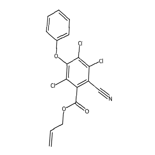 C=CCOC(=O)c1c(Cl)c(Oc2ccccc2)c(Cl)c(Cl)c1C#N